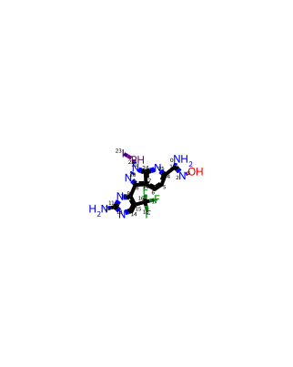 N/C(=N\O)c1ccc2c(-c3nc(N)ncc3C(F)(F)F)nn(PI)c2n1